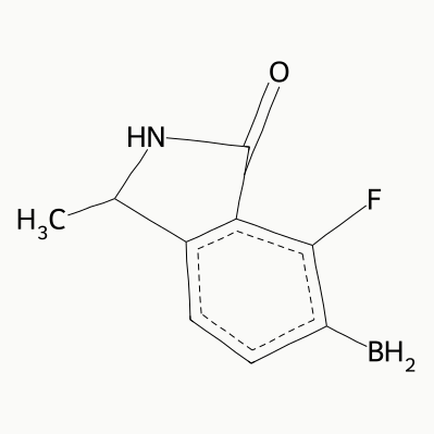 Bc1ccc2c(c1F)C(=O)NC2C